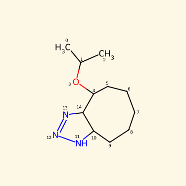 CC(C)OC1CCCCCC2NN=NC21